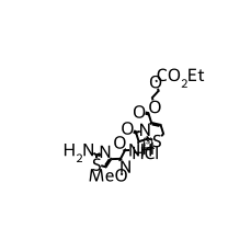 CCOC(=O)OCCOC(=O)C1=CCS[C@H]2C(NC(=O)C(=NOC)c3csc(N)n3)C(=O)N12.Cl